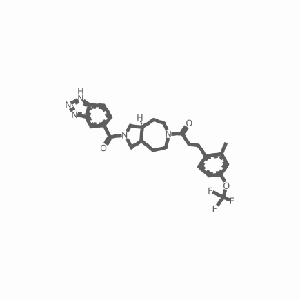 Cc1cc(OC(F)(F)F)ccc1CCC(=O)N1CCC2CN(C(=O)c3ccc4[nH]nnc4c3)C[C@H]2CC1